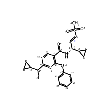 CS(=O)(=O)/C=C/[C@@H](NC(=O)c1cnc(C(F)C2CC2)nc1Oc1ccccc1)C1CC1